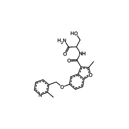 Cc1ncccc1COc1ccc2oc(C)c(C(=O)NC(CO)C(N)=O)c2c1